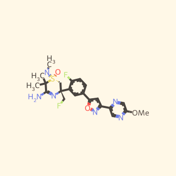 CN=[S@]1(=O)C[C@](CF)(c2cc(-c3cc(-c4cnc(OC)cn4)no3)ccc2F)N=C(N)C1(C)C